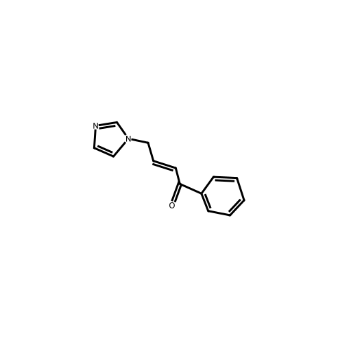 O=C(C=CCn1ccnc1)c1ccccc1